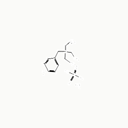 CC[N+](CC)(CC)Cc1ccccc1.Cl.O=S(=O)([O-])[O-].[H+]